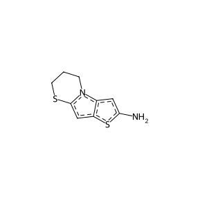 Nc1cc2c(cc3n2CCCS3)s1